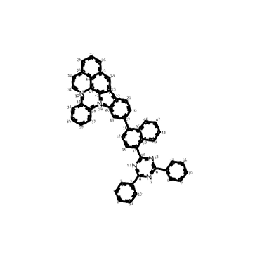 c1ccc(-c2nc(-c3ccccc3)nc(-c3ccc(-c4ccc5c6cc7cccc8ccn9c%10ccccc%10n(c5c4)c6c-9c87)c4ccccc34)n2)cc1